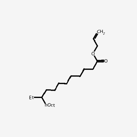 C=CCOC(=O)CCCCCCCCC(CC)CCCCCCCC